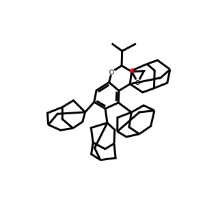 CC(C)C(Oc1cc(C23CC4CC(CC(C4)C2)C3)c(C23CC4CC(CC(C4)C2)C3)c(C23CC4CC(CC(C4)C2)C3)c1C12CC3CC(CC(C3)C1)C2)C1CO1